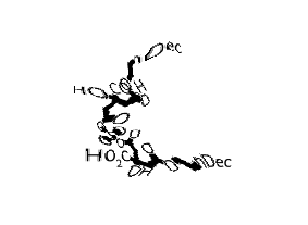 CCCCCCCCCCCCOC(=O)CC(O)(CC(=O)OS(=O)(=O)OC(=O)CC(O)(CC(=O)OCCCCCCCCCCCC)C(=O)O)C(=O)O